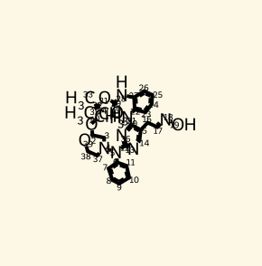 COC1CN(N(c2ccccc2)c2ncc(C/C=N/O)c(Nc3ccccc3NC(=O)OC(C)(C)C)n2)CCO1